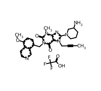 CC#CCn1c(N2CCCC(N)C2)nc2c1c(=O)n(Cc1ccc(OC)c3ccncc13)c(=O)n2C.O=C(O)C(F)(F)F